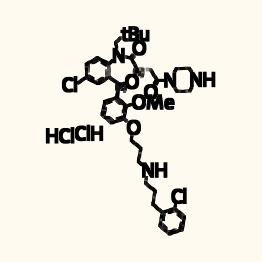 COc1c(OCCCNCCCc2ccccc2Cl)cccc1[C@@H]1O[C@@H](CC(=O)N2CCNCC2)C(=O)N(CC(C)(C)C)c2ccc(Cl)cc21.Cl.Cl